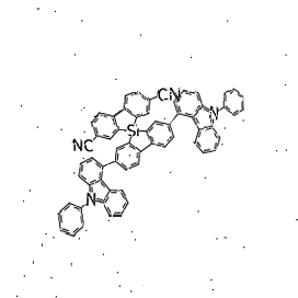 N#Cc1ccc2c(c1)[Si]1(c3cc(C#N)ccc3-2)c2cc(-c3cccc4c3c3ccccc3n4-c3ccccc3)ccc2-c2ccc(-c3cccc4c3c3ccccc3n4-c3ccccc3)cc21